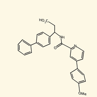 COc1ccc(-c2ccnc(C(=O)NC(CC(=O)O)c3ccc(-c4ccccc4)cc3)c2)cc1